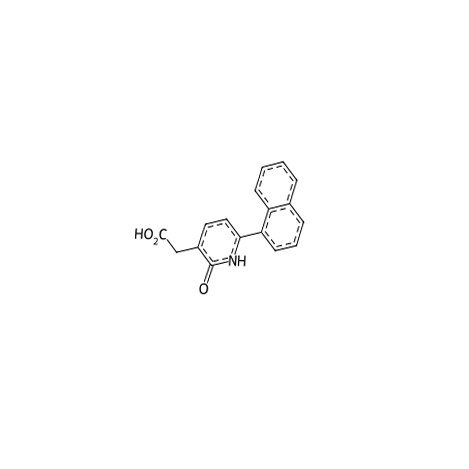 O=C(O)Cc1ccc(-c2cccc3ccccc23)[nH]c1=O